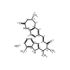 Cc1cccc2cc(C(C)N(C)C(=O)C=Cc3cnc4c(c3)CN(C)CC(=O)N4)[nH]c12.Cl